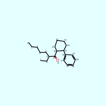 CCCCCC(CC)C(=O)C1CCCCC1c1ccccc1